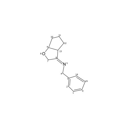 c1ccc(C/N=C2\COC3CCCC23)cc1